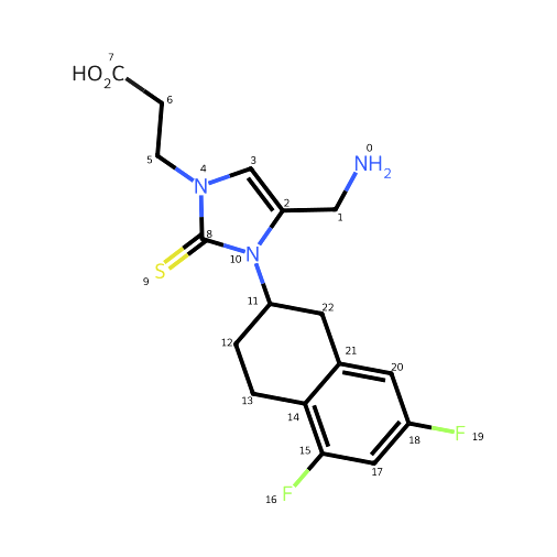 NCc1cn(CCC(=O)O)c(=S)n1C1CCc2c(F)cc(F)cc2C1